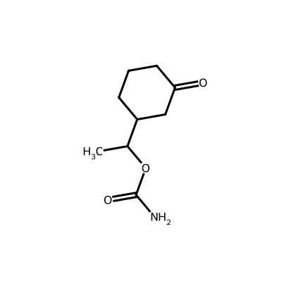 CC(OC(N)=O)C1CCCC(=O)C1